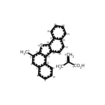 C=C(C)C(=O)O.Cc1cc2ccccc2c2c1sc1c3ccccc3ccc12